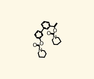 C=C(OC(=O)N1CCCCC1)c1cccc(-c2cccc(OC(=O)N3CCCCC3)c2)c1